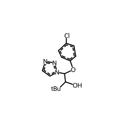 CC(C)(C)C(O)C(Oc1ccc(Cl)cc1)n1ccnn1